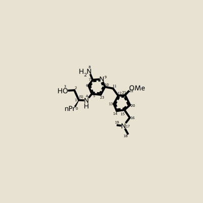 CCC[C@@H](CO)Nc1cc(N)nc(Cc2ccc(CN(C)C)cc2OC)c1